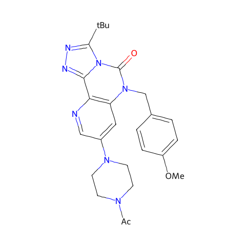 COc1ccc(Cn2c(=O)n3c(C(C)(C)C)nnc3c3ncc(N4CCN(C(C)=O)CC4)cc32)cc1